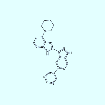 c1cc(N2CCCCC2)c2cc(-c3n[nH]c4cnc(-c5cncnc5)cc34)[nH]c2c1